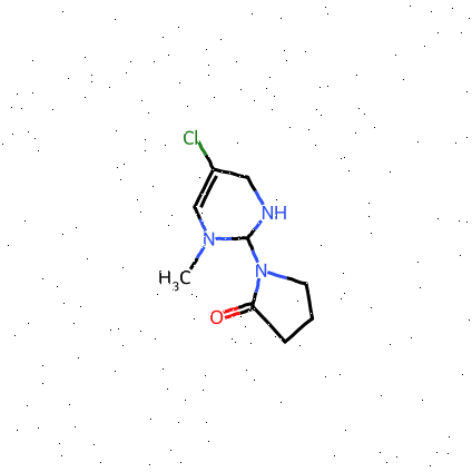 CN1C=C(Cl)CNC1N1CCCC1=O